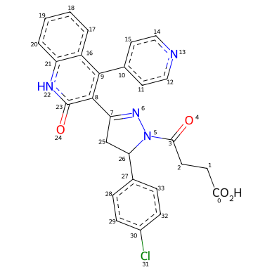 O=C(O)CCC(=O)N1N=C(c2c(-c3ccncc3)c3ccccc3[nH]c2=O)CC1c1ccc(Cl)cc1